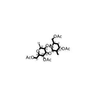 CC(=O)OCC1C[C@H](OC(C)=O)C(C)[C@H](O[C@@H]2C(OC(C)=O)[C@H](C)OC(COC(C)=O)[C@H]2OC(C)=O)O1